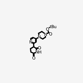 CC(C)(C)OC(=O)N1CCN(c2ccnc(C3CCC(=O)NC3=O)c2)CC1